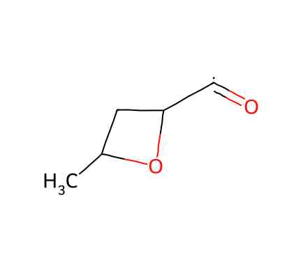 CC1CC([C]=O)O1